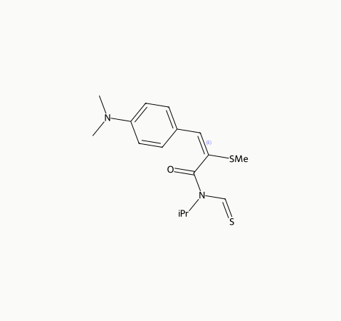 CS/C(=C/c1ccc(N(C)C)cc1)C(=O)N(C=S)C(C)C